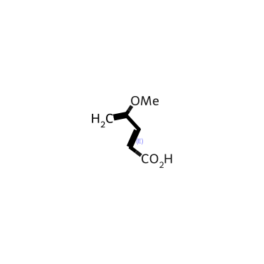 C=C(/C=C/C(=O)O)OC